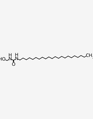 CCCCCCCCCCCCCCCCCCCCCCNC(=O)NCO